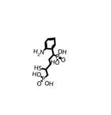 Nc1ccccc1C(CCC(S)CP(=O)(O)O)P(=O)(O)O